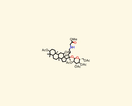 COC(=O)CNCCC[C@](C)(O[C@H]1O[C@H](COC(C)=O)[C@@H](OC(C)=O)[C@H](OC(C)=O)[C@H]1OC(C)=O)C1CC[C@]2(C)[C@@H]1C(OC(C)=O)CC1[C@@]3(C)CC[C@H](OC(C)=O)C(C)(C)C3CC[C@]12C